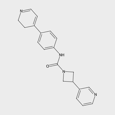 O=C(Nc1ccc(C2=CC=NCC2)cc1)N1CC(c2cccnc2)C1